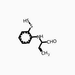 C=CC(C=O)Nc1ccccc1SS